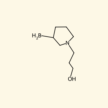 BC1CCCN(CCCO)C1